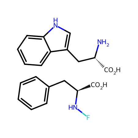 N[C@@H](Cc1c[nH]c2ccccc12)C(=O)O.O=C(O)[C@H](Cc1ccccc1)NF